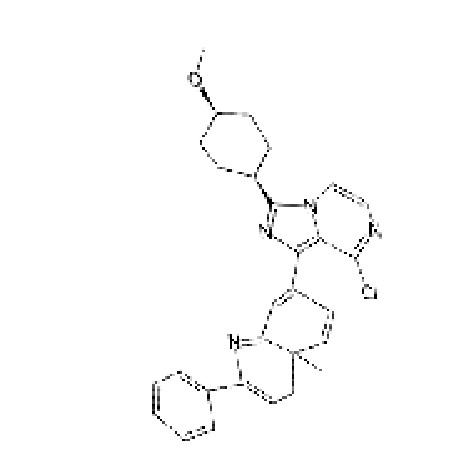 CO[C@H]1CC[C@@H](c2nc(C3=CC4=NC(c5ccccc5)=CCC4(C)C=C3)c3c(Cl)nccn32)CC1